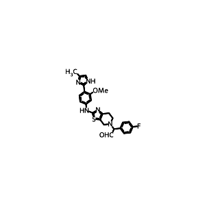 COc1cc(Nc2nc3c(s2)CN(C(C=O)c2ccc(F)cc2)CC3)ccc1-c1nc(C)c[nH]1